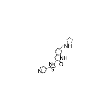 O=c1[nH]c2cc(CNC3CCCC3)ccc2cc1-c1csc(-c2ccncc2)n1